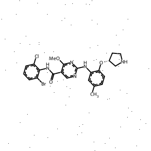 COc1nc(Nc2cc(C)ccc2O[C@@H]2CCNC2)ncc1C(=O)Nc1c(Cl)cccc1Br